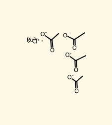 CC(=O)[O-].CC(=O)[O-].CC(=O)[O-].CC(=O)[O-].[Cl+].[Ru+3]